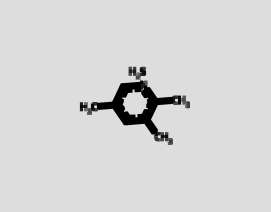 Cc1cnc(C)c(C)c1.S